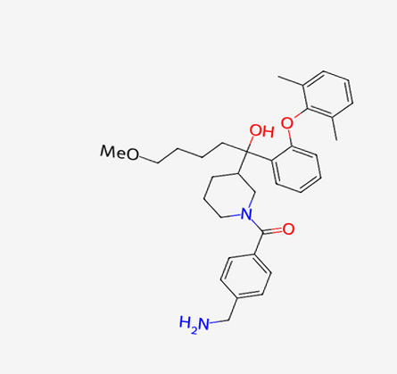 COCCCCC(O)(c1ccccc1Oc1c(C)cccc1C)C1CCCN(C(=O)c2ccc(CN)cc2)C1